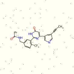 CC#Cc1cncc(-c2cc(=O)[nH]c(-c3cc(CNC(=O)C(C)C)ccc3C(F)(F)F)n2)c1